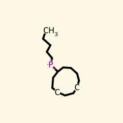 CCCCC[P]C1CCCCCCCCCC1